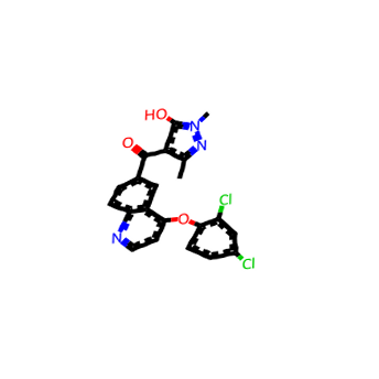 Cc1nn(C)c(O)c1C(=O)c1ccc2nccc(Oc3ccc(Cl)cc3Cl)c2c1